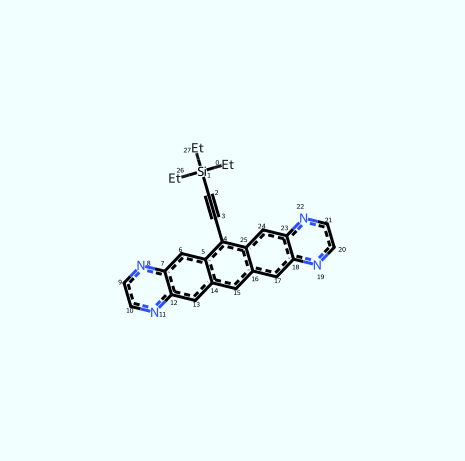 CC[Si](C#Cc1c2cc3nccnc3cc2cc2cc3nccnc3cc12)(CC)CC